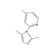 Cc1ccnc(-n2c(C)ccc2C)c1